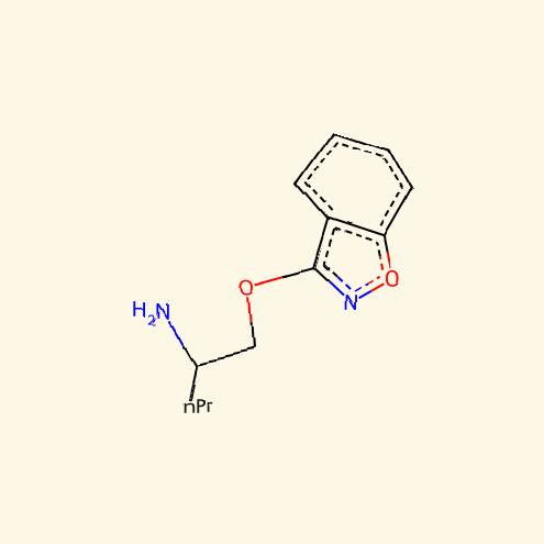 CCCC(N)COc1noc2ccccc12